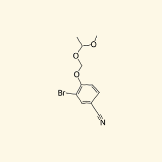 COC(C)OCOc1ccc(C#N)cc1Br